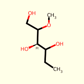 CCC(O)[C@@H](O)C(CO)OC